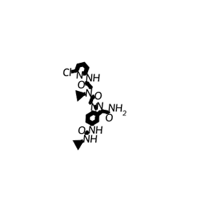 NC(=O)c1nn(CC(=O)N(CC(=O)Nc2cccc(Cl)n2)C2CC2)c2ccc(NC(=O)NC3CC3)cc12